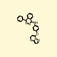 c1ccc(-c2nnc(Nc3ccc(Oc4ccnc5ccnn45)cc3)c3ccccc23)cc1